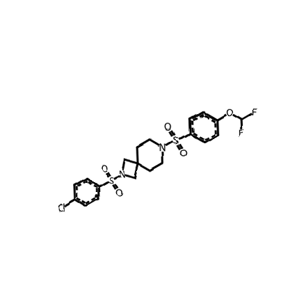 O=S(=O)(c1ccc(OC(F)F)cc1)N1CCC2(CC1)CN(S(=O)(=O)c1ccc(Cl)cc1)C2